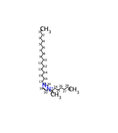 CCCCCCCCCCCCCCCCCCn1cc[n+](C(C)CCCCCC)c1